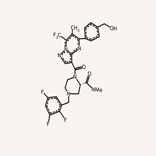 CNC(=O)[C@@H]1CN(Cc2cc(F)cc(F)c2F)CCN1C(=O)c1cnn2c(C(F)(F)F)c(C)c(-c3ccc(CO)cc3)nc12